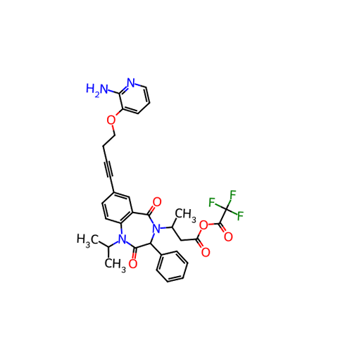 CC(C)N1C(=O)C(c2ccccc2)N(C(C)CC(=O)OC(=O)C(F)(F)F)C(=O)c2cc(C#CCCOc3cccnc3N)ccc21